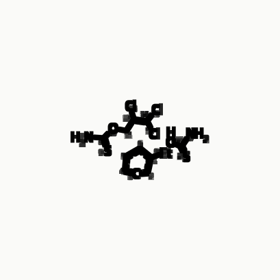 CCc1ccccc1.NC(=S)OCC(Cl)=C(Cl)Cl.NC(O)=S